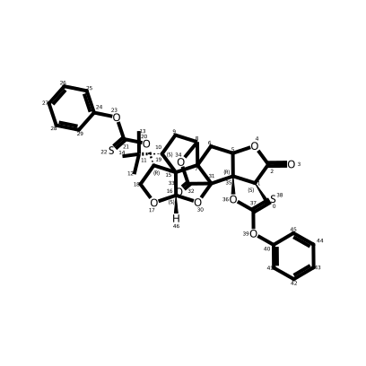 C[C@@H]1C(=O)OC2CC34C5C[C@@H](C(C)(C)C)C36[C@@H](OC[C@@H]6OC(=S)Oc3ccccc3)OC4(C(=O)O5)[C@]21OC(=S)Oc1ccccc1